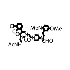 CNc1ccc(OC)cc1CCN(C=O)C1CCN(C(=O)Cn2cc(-c3cccc(Cl)c3Cl)c(=O)n(CCNC(C)=O)c2=O)CC1